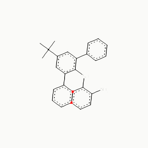 CC(C)(C)c1cc(-c2ccccc2)c(Nc2ccccc2N)c(-c2ccccc2)c1